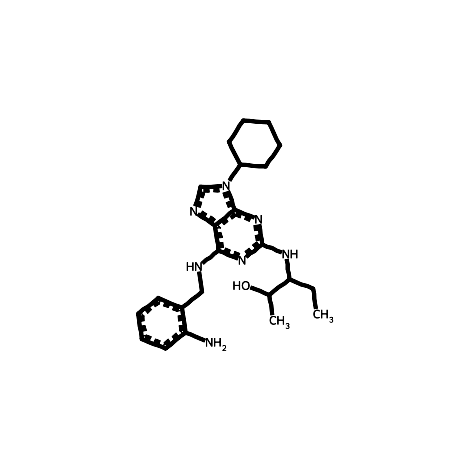 CCC(Nc1nc(NCc2ccccc2N)c2ncn(C3CCCCC3)c2n1)C(C)O